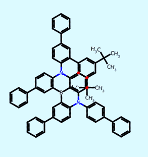 CC(C)(C)c1cc(-c2cc(-c3ccccc3)ccc2N2c3ccc(-c4ccccc4)cc3B3c4cc(-c5ccccc5)ccc4N(c4ccc(-c5ccccc5)cc4)c4cccc2c43)cc(C(C)(C)C)c1